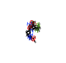 CCOC(=O)c1cn(-c2cc(C(=O)Nc3cc(C(C(F)(F)F)C(F)(F)F)cc(NS(C)(=O)=O)c3OC)ccc2C)nn1